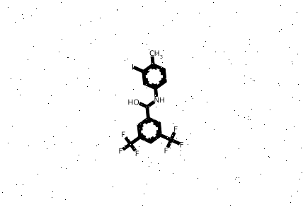 Cc1ccc(NC(O)c2cc(C(F)(F)F)cc(C(F)(F)F)c2)cc1I